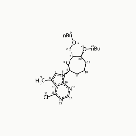 CCCCOC[C@H]1O[C@H](n2cc(C)c3c(Cl)ncnc32)CCC[C@@H]1OCCCC